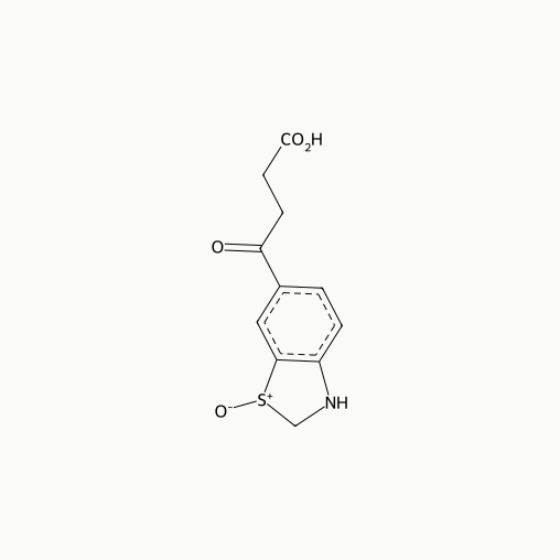 O=C(O)CCC(=O)c1ccc2c(c1)[S+]([O-])CN2